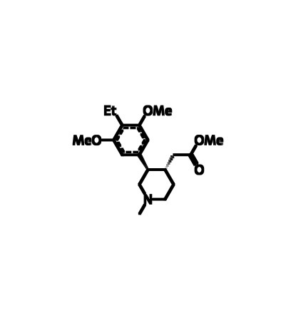 CCc1c(OC)cc([C@@H]2CN(C)CC[C@H]2CC(=O)OC)cc1OC